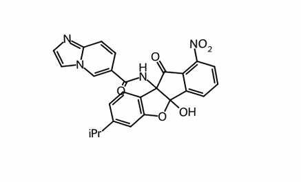 CC(C)c1ccc2c(c1)OC1(O)c3cccc([N+](=O)[O-])c3C(=O)C21NC(=O)c1ccc2nccn2c1